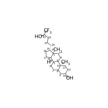 CC12CCC3[C@@H](CCC4CC(O)CC[C@@]43C)C1CC[C@@H]2CCCC(O)C(F)(F)F